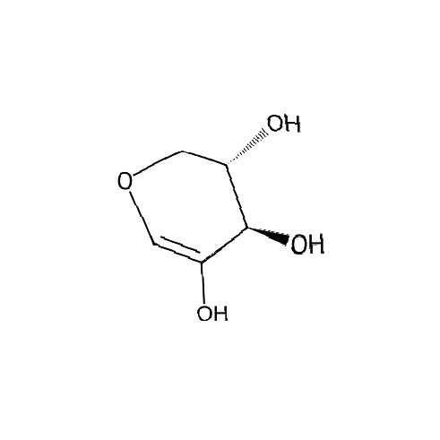 OC1=COC[C@H](O)[C@H]1O